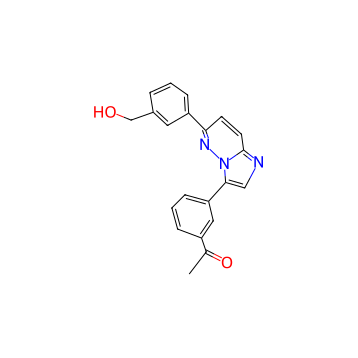 CC(=O)c1cccc(-c2cnc3ccc(-c4cccc(CO)c4)nn23)c1